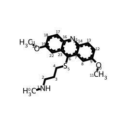 CNCCCSc1c2cc(OC)ccc2nc2ccc(OC)cc12